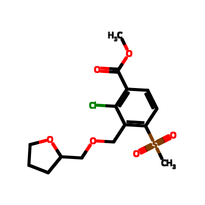 COC(=O)c1ccc(S(C)(=O)=O)c(COCC2CCCO2)c1Cl